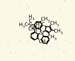 CC1=C(C)C(C)C([Si](c2ccccc2)(c2cc(C)cc([Si](C)(C)C)c2)c2c(C)cccc2C)=C1C